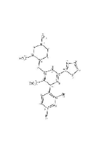 CCOC(=O)C1=C(CN2CCN(C)CC2C(=O)O)NC(c2nccs2)=NC1c1ccc(F)cc1Br